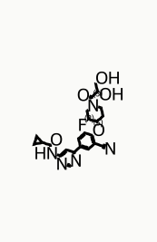 N#Cc1cc(-c2cc(NC(=O)C3CC3)ncn2)ccc1O[C@H]1CCN(C(=O)[C@@H](O)CO)C[C@H]1F